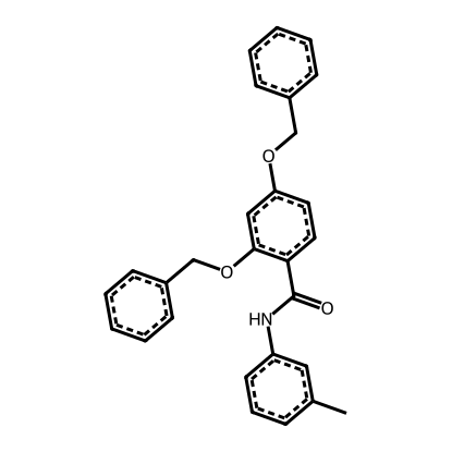 Cc1cccc(NC(=O)c2ccc(OCc3ccccc3)cc2OCc2ccccc2)c1